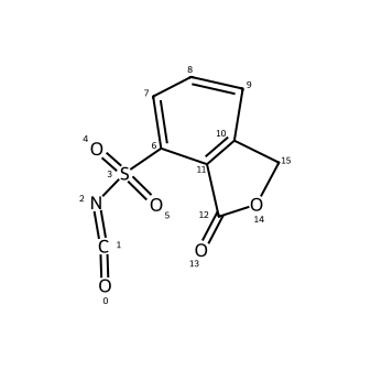 O=C=NS(=O)(=O)c1cccc2c1C(=O)OC2